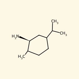 CC(C)C1CCC(C)[C@@H](N)C1